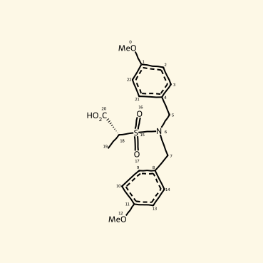 COc1ccc(CN(Cc2ccc(OC)cc2)S(=O)(=O)[C@H](C)C(=O)O)cc1